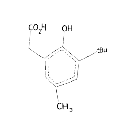 Cc1cc(CC(=O)O)c(O)c(C(C)(C)C)c1